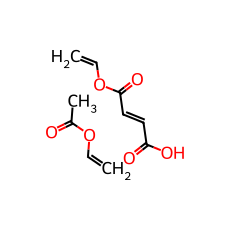 C=COC(=O)C=CC(=O)O.C=COC(C)=O